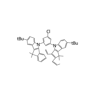 C=CC1=C(/C=C\C)C(C)(C)c2c1n(-c1cc(Cl)cc(-n3c4c(c5cc(C(C)(C)C)ccc53)C(C)(C)c3ccccc3-4)c1)c1ccc(C(C)(C)C)cc21